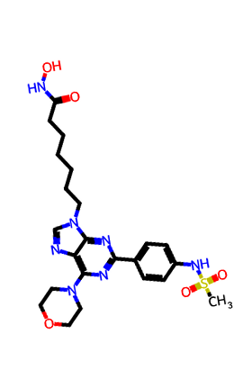 CS(=O)(=O)Nc1ccc(-c2nc(N3CCOCC3)c3ncn(CCCCCCC(=O)NO)c3n2)cc1